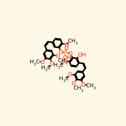 COc1ccc(/C=C\c2cc(OC)c(OC)c(OC)c2)cc1OP(=O)(O)Oc1c(OC)ccc(/C=C\c2cc(OC)c(OC)c(OC)c2)c1O